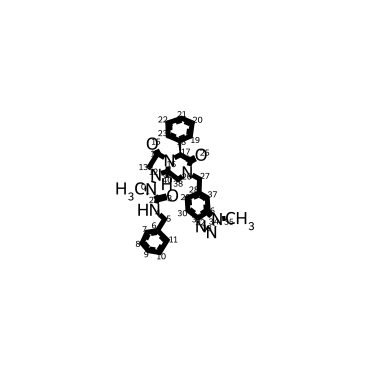 CN(C(=O)NCc1ccccc1)N1CC(=O)N2[C@@H](c3ccccc3)C(=O)N(Cc3ccc4nnn(C)c4c3)C[C@@H]21